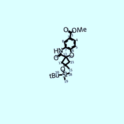 COC(=O)c1ccc2c(c1)NC(=O)C1(CC(C)(O[Si](C)(C)C(C)(C)C)C1)O2